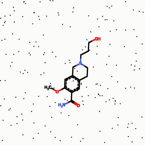 COc1cc2c(cc1C(N)=O)CCN(CCCO)C2